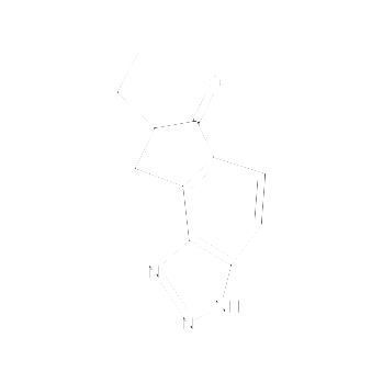 CCC1Cc2c(ccc3[nH]nnc23)C1=O